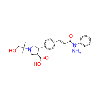 CC(C)(CO)N1C[C@H](C(=O)O)[C@@H](c2ccc(C=CC(=O)N(N)c3ccccc3)cc2)C1